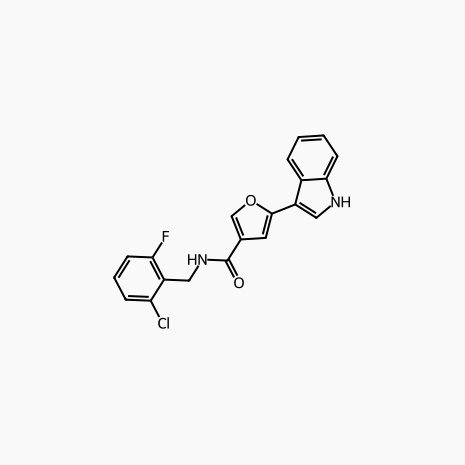 O=C(NCc1c(F)cccc1Cl)c1coc(-c2c[nH]c3ccccc23)c1